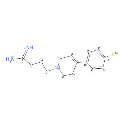 N=C(N)CCCN1CC=C(c2ccc(F)cc2)CC1